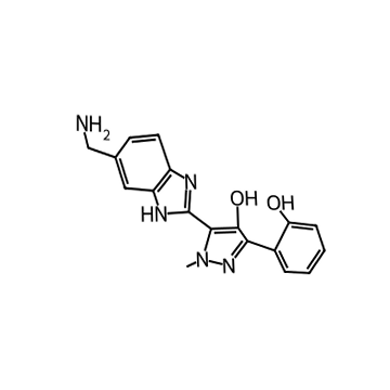 Cn1nc(-c2ccccc2O)c(O)c1-c1nc2ccc(CN)cc2[nH]1